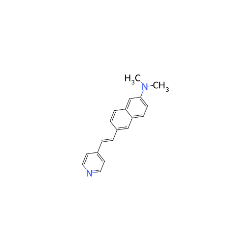 CN(C)c1ccc2cc(/C=C/c3ccncc3)ccc2c1